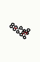 CC1(C)c2ccccc2-c2cc(-c3cccc(N(c4ccc(-c5cccc6cccc(-c7ccccc7)c56)cc4)c4cccc(-c5ccc(-c6ccccc6-n6c7ccccc7c7ccccc76)cc5)c4)c3)ccc21